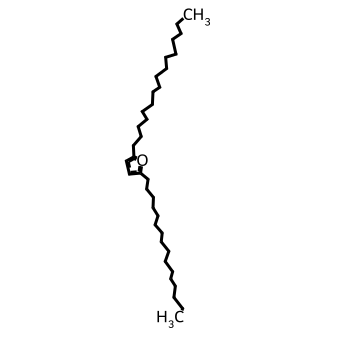 CCCCCCCCCCCCCCCCc1ccc(CCCCCCCCCCCCCCCC)o1